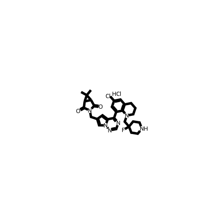 CC1(C)C2C(=O)N(Cc3cc4c(-c5cc(Cl)cc6c5N(CC5(F)CCNCC5)CCC6)ncnn4c3)C(=O)C21.Cl